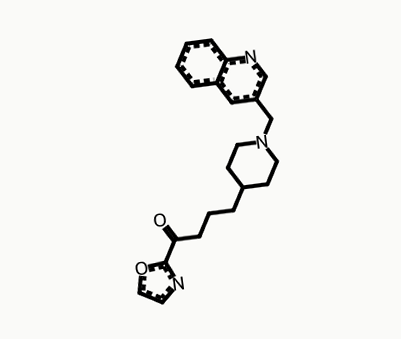 O=C(CCCC1CCN(Cc2cnc3ccccc3c2)CC1)c1ncco1